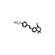 CC1(C)CCC(=O)c2cc(C=Cc3ccc(C(=O)O)cc3)ccc21